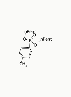 CCCCCOP(=O)(OCCCCC)c1ccc(C)cc1